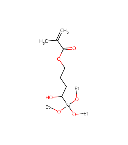 C=C(C)C(=O)OCCCC(O)[Si](OCC)(OCC)OCC